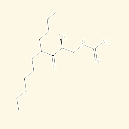 CCCCCCC(CCCC)C(=O)[C@@H](N)CNC(=N)N